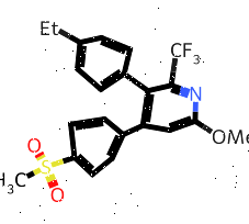 CCc1ccc(-c2c(-c3ccc(S(C)(=O)=O)cc3)cc(OC)nc2C(F)(F)F)cc1